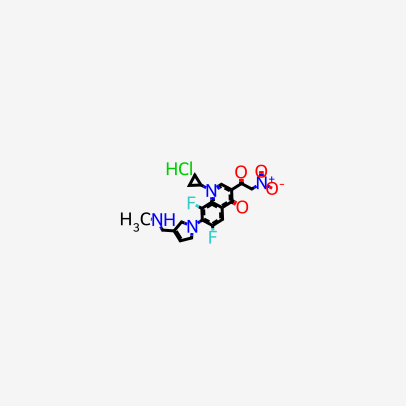 CNCC1=CCN(c2c(F)cc3c(=O)c(C(=O)C[N+](=O)[O-])cn(C4CC4)c3c2F)C1.Cl